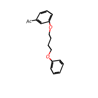 CC(=O)c1cccc(OCCCCOc2ccccc2)c1